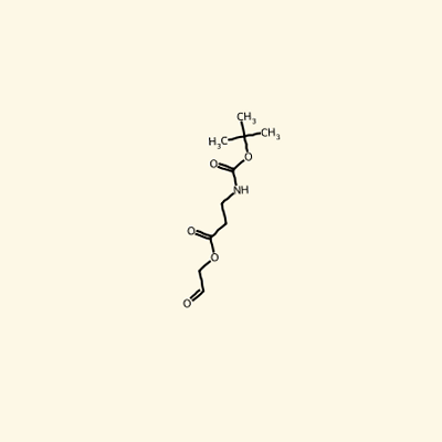 CC(C)(C)OC(=O)NCCC(=O)OCC=O